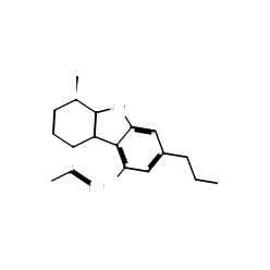 C=C(C)[C@@H]1CC[C@@H](C)C2Oc3cc(CCC)cc(O)c3C21